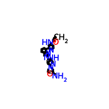 C=CC(=O)Nc1ccnc(-c2cccc3cnc(Nc4ccc(N5CCO[C@@H](CN)C5)nc4)nc23)c1